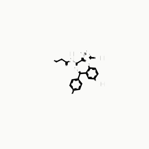 CCCC(=O)N[C@@H]1N=C(c2ccc(Cl)cc2)c2cc(O)ccc2-n2c(C)nnc21